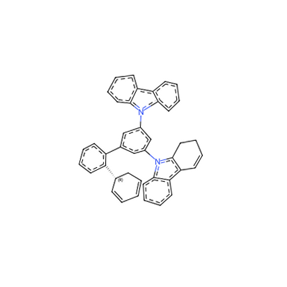 C1=CC[C@@H](c2ccccc2-c2cc(-n3c4c(c5ccccc53)C=CCC4)cc(-n3c4ccccc4c4ccccc43)c2)C=C1